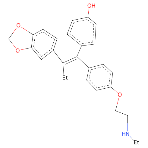 CCNCCOc1ccc(C(=C(CC)c2ccc3c(c2)OCO3)c2ccc(O)cc2)cc1